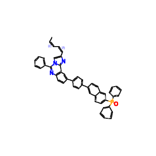 C/C=C\C=C/c1cn2c(-c3ccccc3)nc3ccc(-c4ccc(-c5ccc6cc(P(=O)(c7ccccc7)c7ccccc7)ccc6c5)cc4)cc3c2n1